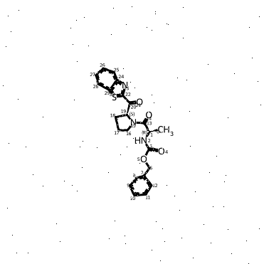 C[C@@H](NC(=O)OCc1ccccc1)C(=O)N1CCC[C@H]1C(=O)c1nc2ccccc2s1